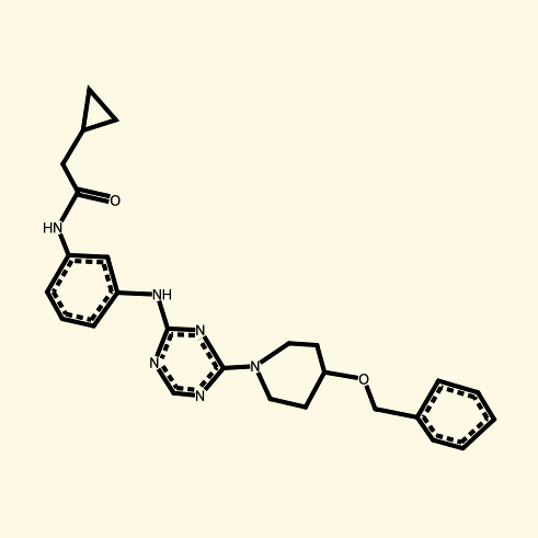 O=C(CC1CC1)Nc1cccc(Nc2ncnc(N3CCC(OCc4ccccc4)CC3)n2)c1